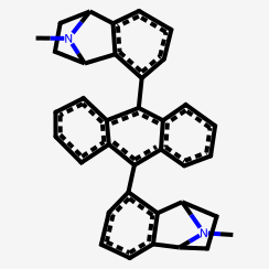 CN1C2CCC1c1c(-c3c4ccccc4c(-c4cccc5c4C4CCC5N4C)c4ccccc34)cccc12